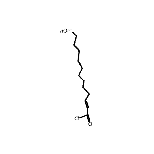 CCCCCCCCCCCCCCCCCC=CC(=O)Cl